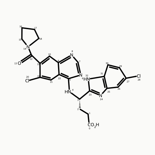 O=C(O)CC[C@H](Nc1ncnc2cc(C(=O)N3CCCC3)c(Cl)cc12)c1nc2cc(Cl)ccc2[nH]1